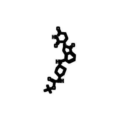 CC(C)(C)OC(=O)NC1CCC(Nc2cccc3c2CN(C2CCC(=O)NC2=O)C3=O)CC1